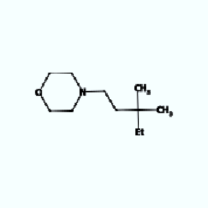 CCC(C)(C)CCN1CCOCC1